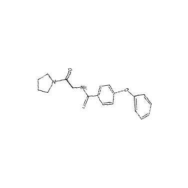 O=C(NCC(=O)N1CCCC1)c1ccc(Oc2ccccc2)cc1